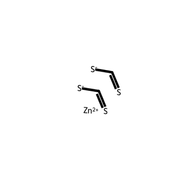 S=C[S-].S=C[S-].[Zn+2]